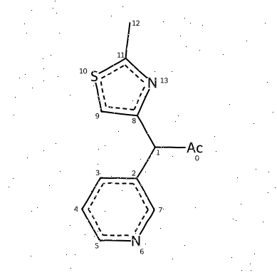 CC(=O)C(c1cccnc1)c1csc(C)n1